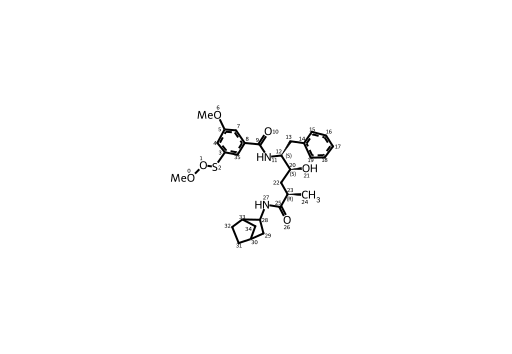 COOSc1cc(OC)cc(C(=O)N[C@@H](Cc2ccccc2)[C@@H](O)C[C@@H](C)C(=O)NC2CC3CCC2C3)c1